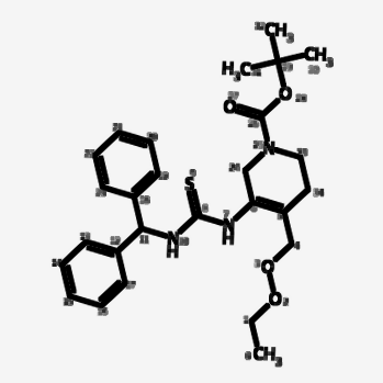 CCOOCC1=C(NC(=S)NC(c2ccccc2)c2ccccc2)CN(C(=O)OC(C)(C)C)CC1